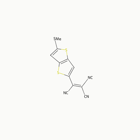 [C-]#[N+]/C(C#N)=C(/C#N)c1cc2sc(SC)cc2s1